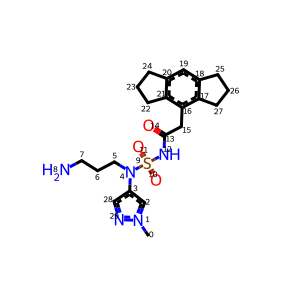 Cn1cc(N(CCCN)S(=O)(=O)NC(=O)Cc2c3c(cc4c2CCC4)CCC3)cn1